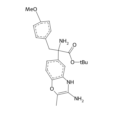 COc1ccc(CC(N)(C(=O)OC(C)(C)C)c2ccc3c(c2)NC(N)=C(C)O3)cc1